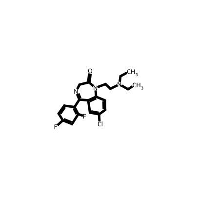 CCN(CC)CCN1C(=O)CN=C(c2ccc(F)cc2F)c2cc(Cl)ccc21